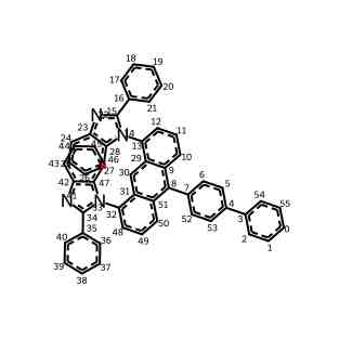 c1ccc(-c2ccc(-c3c4cccc(-n5c(-c6ccccc6)nc6ccccc65)c4cc4c(-n5c(-c6ccccc6)nc6ccccc65)cccc34)cc2)cc1